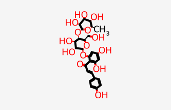 C[C@@H]1O[C@@H](O[C@H]2[C@H](O)[C@@H](O)[C@H](Oc3cc(O)cc(O)c3C(=O)/C=C/c3ccc(O)cc3)O[C@@H]2CO)[C@H](O)[C@H](O)[C@H]1O